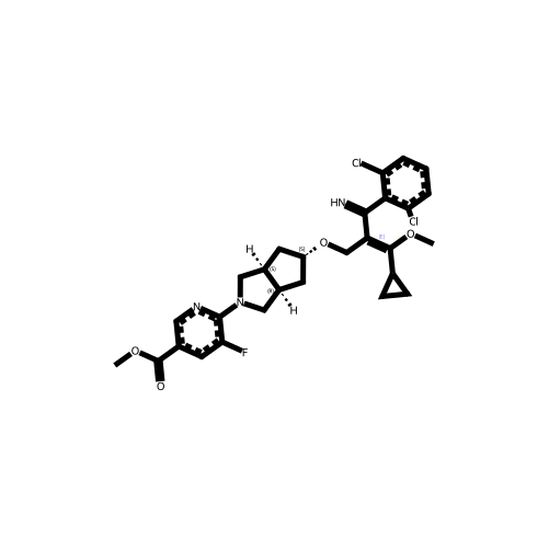 COC(=O)c1cnc(N2C[C@H]3C[C@H](OC/C(C(=N)c4c(Cl)cccc4Cl)=C(/OC)C4CC4)C[C@H]3C2)c(F)c1